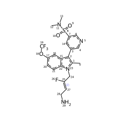 Cc1c(-c2cncc(S(=O)(=O)N(C)C)c2)c2cc(OC(F)(F)F)ccc2n1C/C(F)=C/CN